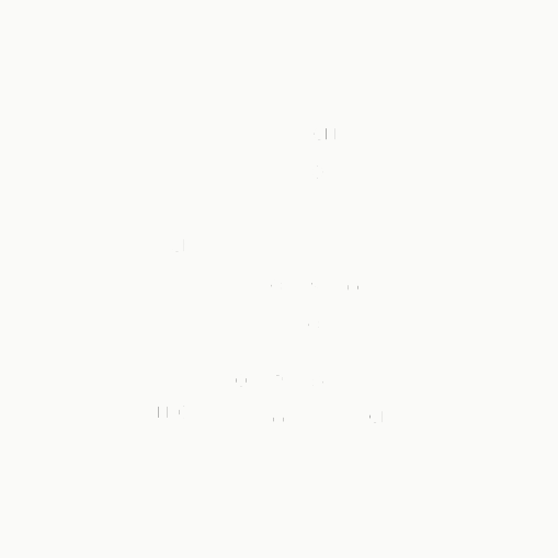 CCOP(=O)(COS(=O)(=O)Cc1cc(Cl)ccc1OC)OCC